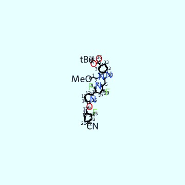 COCCn1c(Cc2nc(F)c(-c3cccc(OCc4ccc(C#N)cc4F)n3)cc2F)nc2ccc(C(=O)OC(C)(C)C)cc21